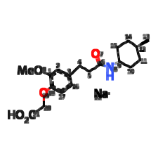 COc1cc(CCC(=O)N[C@H]2CC[C@H](C)CC2)ccc1OCC(=O)O.[Na]